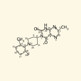 Cc1cnc2c(=O)n(C3CCN(c4c(C)cccc4F)CC3)c(=O)[nH]c2n1